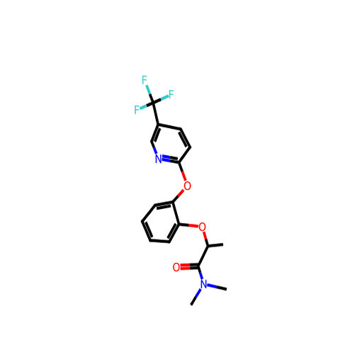 CC(Oc1ccccc1Oc1ccc(C(F)(F)F)cn1)C(=O)N(C)C